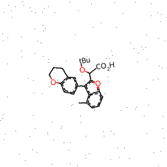 Cc1cccc2oc(C(OC(C)(C)C)C(=O)O)c(-c3ccc4c(c3)CCCO4)c12